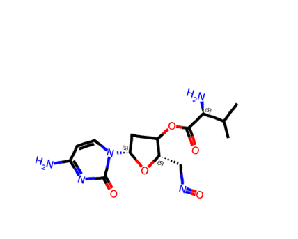 CC(C)[C@H](N)C(=O)OC1C[C@@H](n2ccc(N)nc2=O)O[C@H]1CN=O